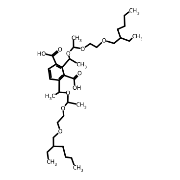 CCCCC(CC)COCCOC(C)OC(C)c1ccc(C(=O)O)c(C(C)OC(C)OCCOCC(CC)CCCC)c1C(=O)O